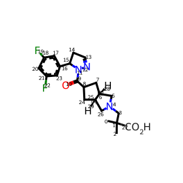 CC(C)(CN1C[C@H]2CC(C(=O)N3N=CCC3c3cc(F)cc(F)c3)C[C@H]2C1)C(=O)O